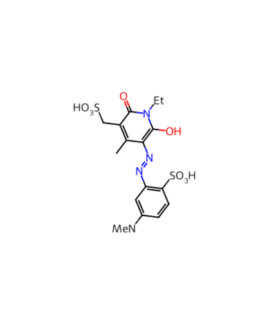 CCn1c(O)c(N=Nc2cc(NC)ccc2S(=O)(=O)O)c(C)c(CS(=O)(=O)O)c1=O